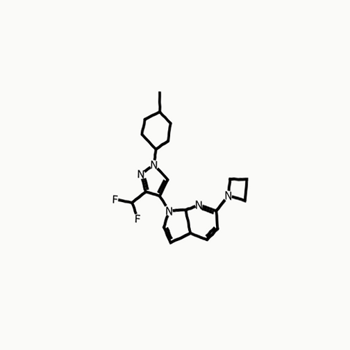 CC1CCC(n2cc(N3C=CC4C=CC(N5CCC5)=NC43)c(C(F)F)n2)CC1